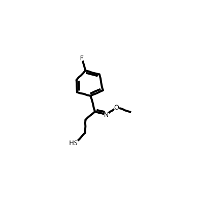 CO/N=C(/CCS)c1ccc(F)cc1